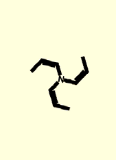 C/C=C\N(/C=C\C)/C=C\C